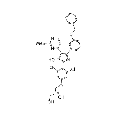 CSc1nccc(-c2c(-c3cccc(OCc4ccccc4)c3)nc(-c3c(Cl)cc(OC[C@H](O)CO)cc3Cl)n2O)n1